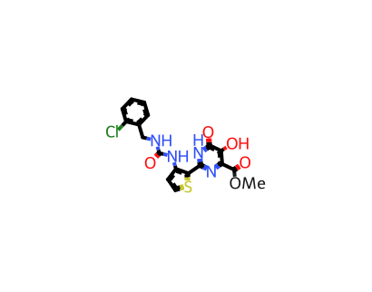 COC(=O)c1nc(-c2sccc2NC(=O)NCc2ccccc2Cl)[nH]c(=O)c1O